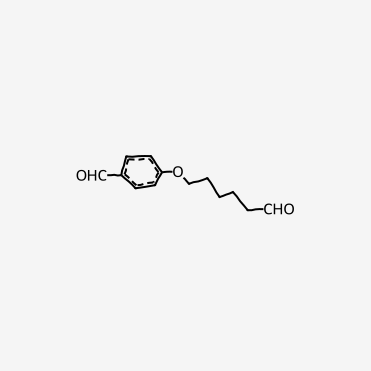 O=CCCCCCOc1ccc(C=O)cc1